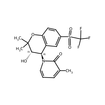 Cc1cccn([C@@H]2c3cc(S(=O)(=O)C(F)(F)F)ccc3OC(C)(C)[C@H]2O)c1=O